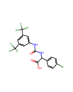 O=C(Nc1cc(C(F)(F)F)cc(C(F)(F)F)c1)NC(C(=O)O)c1ccc(F)cc1